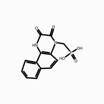 O=c1[nH]c2c3ccccc3ccc2n(CP(=O)(O)O)c1=O